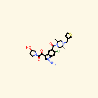 C[C@@H]1CN(C(=O)c2cc3c(C(=O)C(=O)N4CCC(O)C4)cn(N)c3cc2Cl)[C@@H](C)CN1Cc1ccsc1